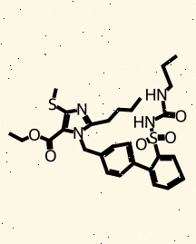 CCCCc1nc(SC)c(C(=O)OCC)n1Cc1ccc(-c2ccccc2S(=O)(=O)NC(=O)NCCC)cc1